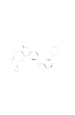 Cn1c(=O)c2c(c3cc(Nc4nc(N5CCC[C@H](CF)C5)ncc4Cl)ccc31)N[C@@H](C1CC1)C(F)(F)CO2